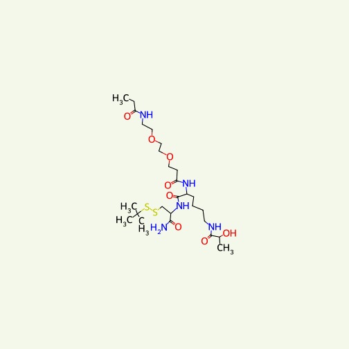 CCC(=O)NCCOCCOCCC(=O)NC(CCCCNC(=O)C(C)O)C(=O)NC(CSSC(C)(C)C)C(N)=O